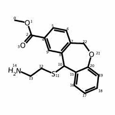 COC(=O)c1ccc2c(c1)C(SCCN)c1ccccc1OC2